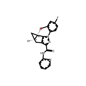 O=C(Nc1ccccn1)c1nn(-c2ccc(F)cc2F)c2c1C[C@H]1C[C@@H]21